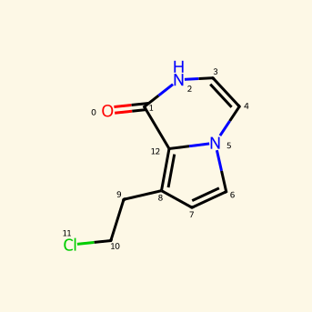 O=c1[nH]ccn2ccc(CCCl)c12